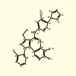 CCc1nn(-c2ncccc2C)c(-c2ccc(F)c(F)c2F)c1C(=O)Nc1cnc(-n2nccn2)c(Cl)c1